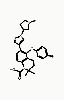 CN1CCC(n2cc(-c3ccc4c(c3Oc3ccc(F)cc3)CCC(C)(C)N4C(=O)O)cn2)C1